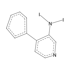 IN(I)c1cnccc1-c1ccccc1